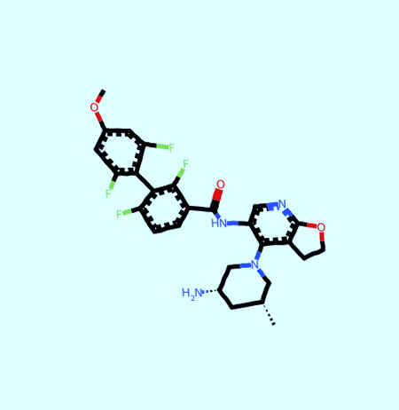 COc1cc(F)c(-c2c(F)ccc(C(=O)Nc3cnc4c(c3N3C[C@H](C)C[C@H](N)C3)CCO4)c2F)c(F)c1